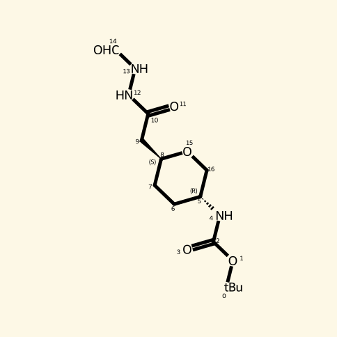 CC(C)(C)OC(=O)N[C@@H]1CC[C@@H](CC(=O)NNC=O)OC1